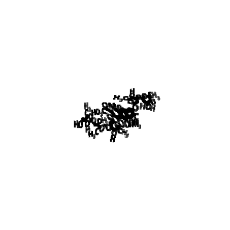 CO[C@H](C(=O)O)[C@@H]1Cc2cc3cc(O[C@H]4CC(O[C@H]5CC(O)[C@H](O)C(C)O5)[C@H](O)C(C)O4)c(C)c(O)c3c(O)c2C(=O)[C@H]1O[C@H]1C[C@@H](OCOC(C)[C@H](O)COCOC(C)[C@@H](O)CO)[C@H](O)C(C)O1